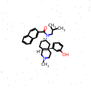 CC(C)CN(C(=O)c1ccc2ccccc2c1)[C@H]1CC[C@@H]2CN(C)CC[C@@]2(c2cccc(O)c2)C1